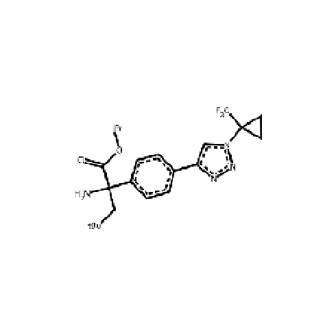 CC(C)OC(=O)C(N)(CC(C)(C)C)c1ccc(-c2cn(C3(C(F)(F)F)CC3)nn2)cc1